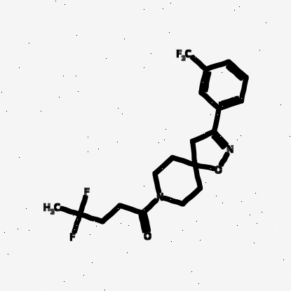 CC(F)(F)CCC(=O)N1CCC2(CC1)CC(c1cccc(C(F)(F)F)c1)=NO2